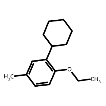 CCOc1ccc(C)cc1C1CCCCC1